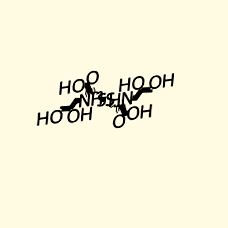 O=C(O)[C@H](CSSC[C@H](NCC(O)CO)C(=O)O)NCC(O)CO